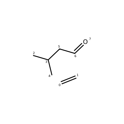 C=C.CC(C)CC=O